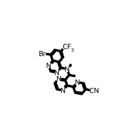 CC(c1nccnc1-c1ccc(C#N)cn1)N(C)c1ncnc2c(Br)cc(C(F)(F)F)cc12